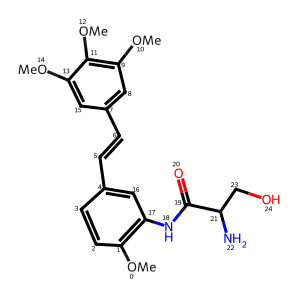 COc1ccc(/C=C/c2cc(OC)c(OC)c(OC)c2)cc1NC(=O)C(N)CO